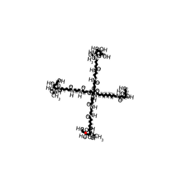 CC(=O)NC1C(OCCCCC(=O)NCCCNC(=O)CCOCC(COCCC(=O)NCCCNC(=O)CCCCOC2OC(CO)C(O)C(O)C2NC(C)=O)(COCCC(=O)NCCCNC(=O)CCCCOC2OC(CO)C(O)C(O)C2NC(C)=O)NC(=O)CCCCCCCCCNC(=O)C2CC(O)C(CO)O2)OC(CO)C(O)C1O